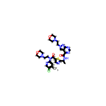 CC(NC(=O)c1ncnc2nn(CCN3CCOCC3)cc12)c1ncc(C(=O)N(CCN2CCOCC2)c2cc(C(F)(F)F)c(Cl)cn2)s1